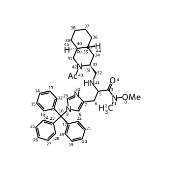 CON(C)C(=O)C(Cc1cn(C(c2ccccc2)(c2ccccc2)c2ccccc2)cn1)NC[C@@H]1C[C@H]2CCCC[C@@H]2CN1C(C)=O